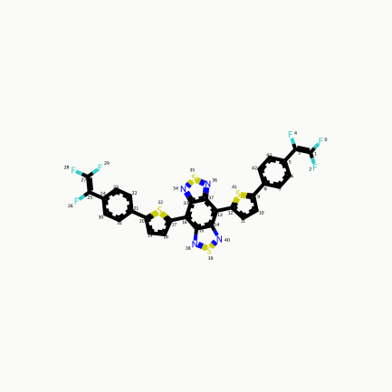 FC(F)=C(F)c1ccc(-c2ccc(-c3c4c(c(-c5ccc(-c6ccc(C(F)=C(F)F)cc6)s5)c5nsnc35)N=S=N4)s2)cc1